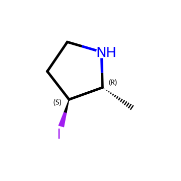 C[C@H]1NCC[C@@H]1I